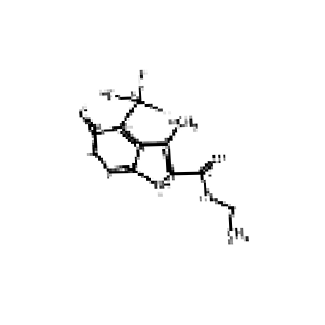 CCOC(=O)c1[nH]c2c(c1C)=C(C(F)(F)F)C(=O)CC=2